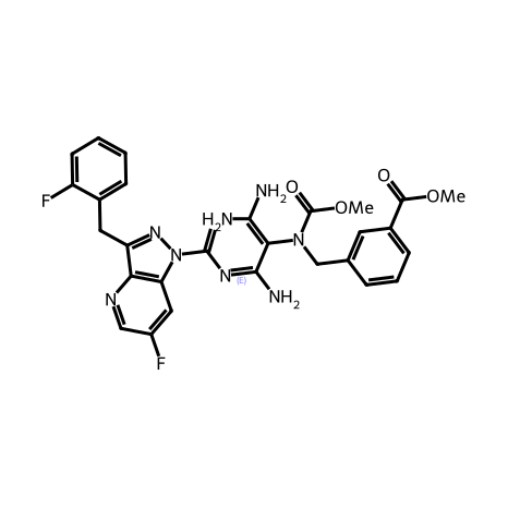 C=C(/N=C(/N)C(=C(N)N)N(Cc1cccc(C(=O)OC)c1)C(=O)OC)n1nc(Cc2ccccc2F)c2ncc(F)cc21